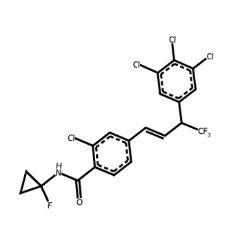 O=C(NC1(F)CC1)c1ccc(/C=C/C(c2cc(Cl)c(Cl)c(Cl)c2)C(F)(F)F)cc1Cl